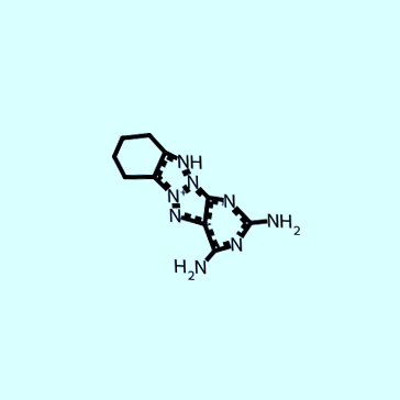 Nc1nc(N)c2n[n+]3c4c([nH]n3c2n1)CCCC4